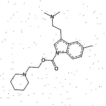 Cc1ccc2c(c1)c(CCN(C)C)cn2C(=O)OCCN1CCCCC1